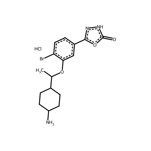 CC(Oc1cc(-c2n[nH]c(=O)o2)ccc1Br)C1CCC(N)CC1.Cl